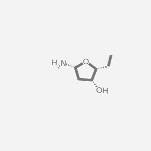 CC[C@H]1O[C@@H](N)C[C@H]1O